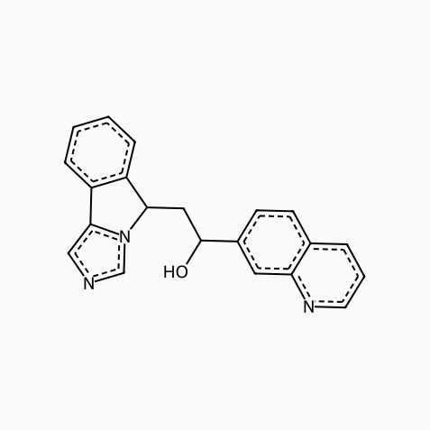 OC(CC1c2ccccc2-c2cncn21)c1ccc2cccnc2c1